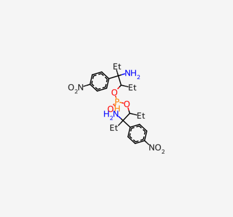 CCC(O[PH](=O)OC(CC)C(N)(CC)c1ccc([N+](=O)[O-])cc1)C(N)(CC)c1ccc([N+](=O)[O-])cc1